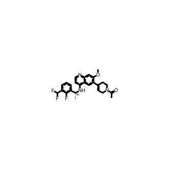 COc1cc2nccc(N[C@H](C)c3cccc(C(F)F)c3F)c2cc1C1=CCN(C(C)=O)CC1